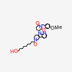 COc1ccc(CN2C(=O)CCC(n3c4c(c5cccnc53)CN(C(=O)CCCCCCCCO)CC4)C2=O)cc1